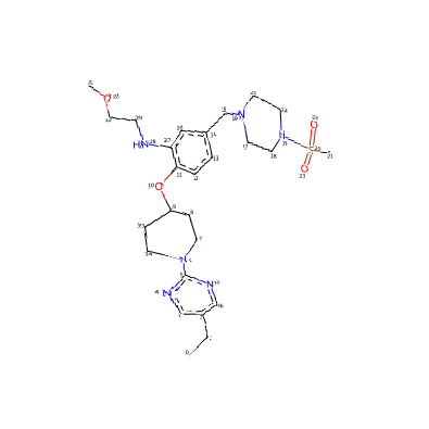 CCc1cnc(N2CCC(Oc3ccc(CN4CCN(S(C)(=O)=O)CC4)cc3NCCOC)CC2)nc1